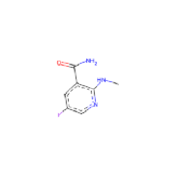 CNc1ncc(I)cc1C(N)=O